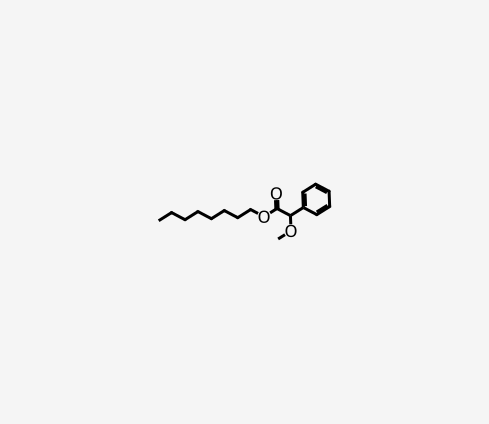 CCCCCCCCOC(=O)C(OC)c1ccccc1